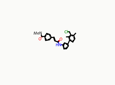 CNC(=O)c1ccc(C=CC(=O)Nc2cccc(-c3ccc(C)c(CCl)c3C)c2)cc1